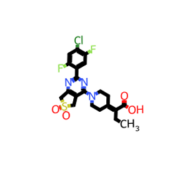 CCC(C(=O)O)=C1CCN(c2nc(-c3cc(F)c(Cl)cc3F)nc3c2CS(=O)(=O)C3)CC1